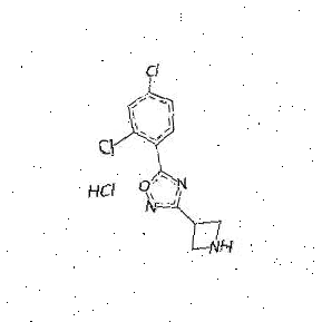 Cl.Clc1ccc(-c2nc(C3CNC3)no2)c(Cl)c1